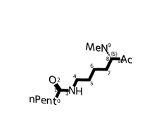 CCCCCC(=O)NCCCC[C@H](NC)C(C)=O